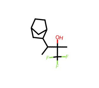 CC(C1CC2CCC1C2)C(C)(O)C(F)(F)F